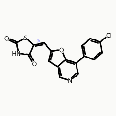 O=C1NC(=O)/C(=C\c2cc3cncc(-c4ccc(Cl)cc4)c3o2)S1